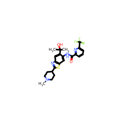 CN1CCC(c2nc3cc(C(C)(C)O)c(NC(=O)c4cccc(C(F)(F)F)n4)cc3s2)CC1